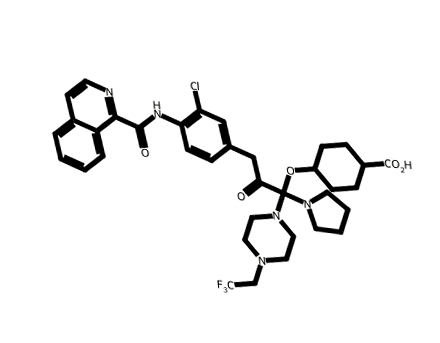 O=C(Nc1ccc(CC(=O)C(OC2CCC(C(=O)O)CC2)(N2CCCC2)N2CCN(CC(F)(F)F)CC2)cc1Cl)c1nccc2ccccc12